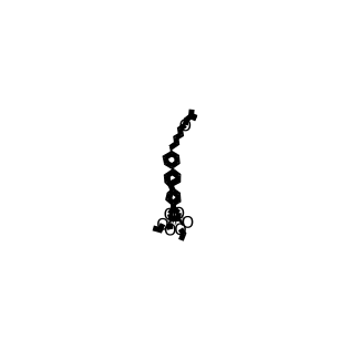 C=C(C)COCCCCC[C@H]1CC[C@H](c2ccc(-c3ccc(C4O[C@@H](C(=O)OCC)[C@H](C(=O)OCC)O4)cc3)cc2)CC1